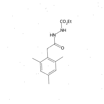 CCOC(=O)NNC(=O)Cc1c(C)cc(C)cc1C